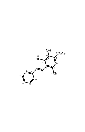 COc1cc(C#N)c(C=Cc2ccccc2)c(C#N)c1O